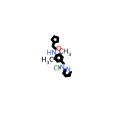 Cc1cc(CN(Cl)c2ccccn2)cc(C)c1NC(=O)CC1CCCC1